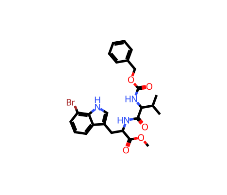 COC(=O)C(Cc1c[nH]c2c(Br)cccc12)NC(=O)C(NC(=O)OCc1ccccc1)C(C)C